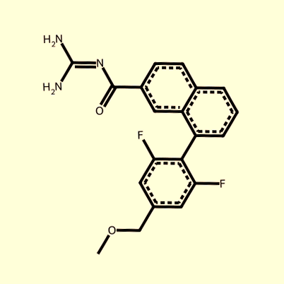 COCc1cc(F)c(-c2cccc3ccc(C(=O)N=C(N)N)cc23)c(F)c1